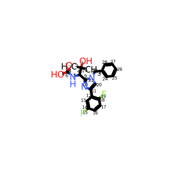 CC(C)(O)C(NC(=O)O)c1nc(-c2cc(F)ccc2F)cn1Cc1ccccc1